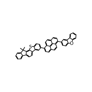 CC1(C)c2ccccc2-c2ccc3c(sc4ccc(-c5ccc6ccc7c(-c8ccc9oc%10ccccc%10c9c8)ccc8ccc5c6c87)cc43)c21